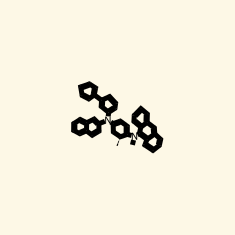 C[C@@H]1CC(N(c2cccc(-c3ccccc3)c2)c2ccc3ccccc3c2)=CC=C1N(C)c1c2ccccc2cc2ccccc12